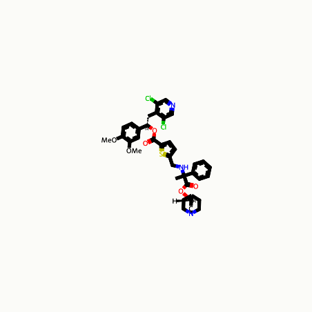 COc1ccc([C@H](Cc2c(Cl)cncc2Cl)OC(=O)c2ccc(CNC(C)(C(=O)O[C@H]3CN4CCC3CC4)c3ccccc3)s2)cc1OC